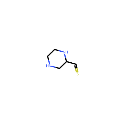 S=CC1CNCCN1